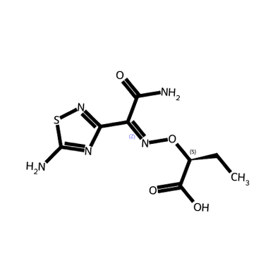 CC[C@H](O/N=C(\C(N)=O)c1nsc(N)n1)C(=O)O